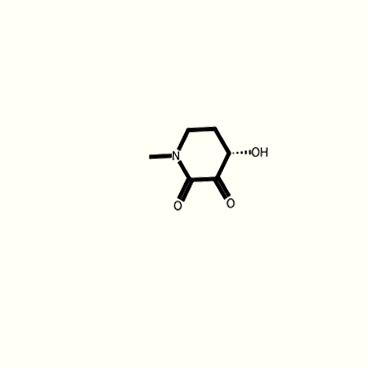 CN1CC[C@H](O)C(=O)C1=O